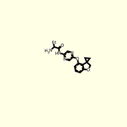 CCC(N)C(=O)Nc1cnc(Oc2cccc3c2C2(CC2)CO3)cn1